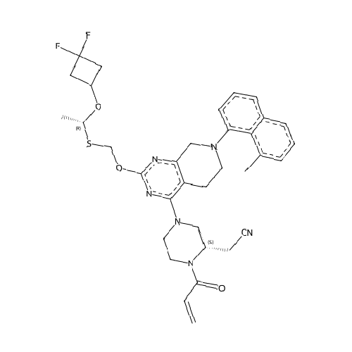 C=CC(=O)N1CCN(c2nc(OCS[C@H](C)OC3CC(F)(F)C3)nc3c2CCN(c2cccc4cccc(C)c24)C3)C[C@@H]1CC#N